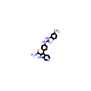 Cc1ccc(F)c(NC(=O)Nc2ccc(-c3c(C(N)=O)[nH]c4cnccc34)cc2)c1